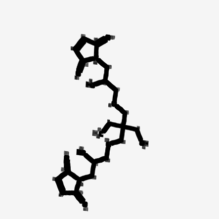 CCC(CO)(COCC(O)CN1C(=O)C=CC1=O)COCC(O)CN1C(=O)C=CC1=O